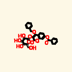 O=C(Oc1ccc2c(OCc3ccccc3)c(O[C@@H]3O[C@H](CO)[C@@H](O)[C@H](O)[C@@H]3O)c(=O)oc2c1)c1ccccc1